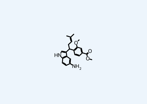 COC(=O)c1ccc(C(CC=C(C)C)c2c[nH]c3ccc(N)cc23)c(OC)c1